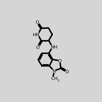 Cn1c(=O)oc2c(NC3CCC(=O)NC3=O)cccc21